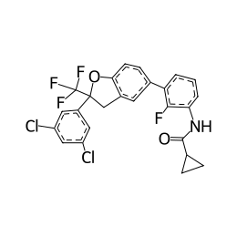 O=C(Nc1cccc(-c2ccc3c(c2)CC(c2cc(Cl)cc(Cl)c2)(C(F)(F)F)O3)c1F)C1CC1